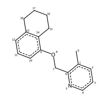 Cc1cccnc1COc1cccc2c1CCCC2